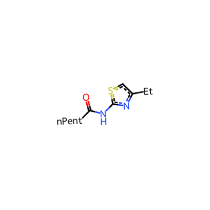 CCCCCC(=O)Nc1nc(CC)cs1